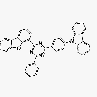 c1ccc(-c2nc(-c3ccc(-n4c5ccccc5c5ccccc54)cc3)nc(-c3cccc4c3oc3ccccc34)n2)cc1